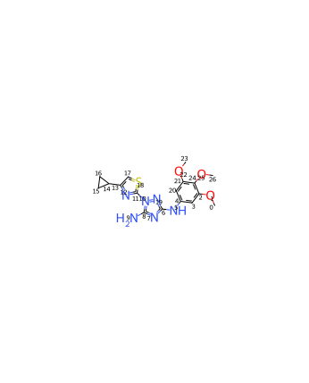 COc1cc(Nc2nc(N)n(-c3nc(C4CC4)cs3)n2)cc(OC)c1OC